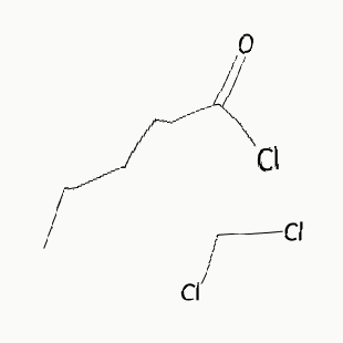 CCCCC(=O)Cl.ClCCl